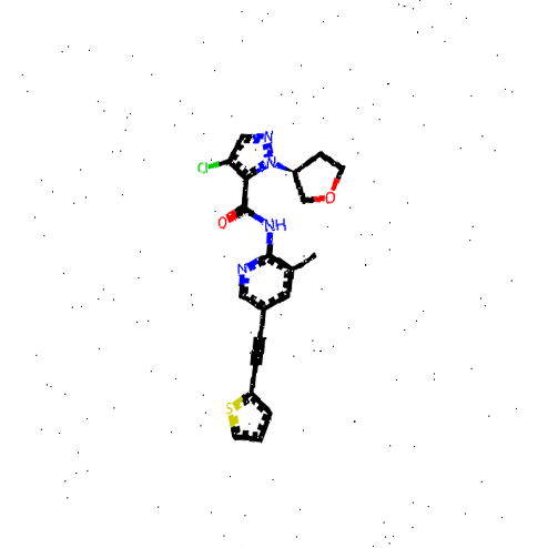 Cc1cc(C#Cc2cccs2)cnc1NC(=O)c1c(Cl)cnn1[C@H]1CCOC1